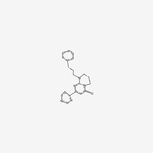 O=c1cc(-c2ccncn2)nc2n1CCCN2CCCc1ccccc1